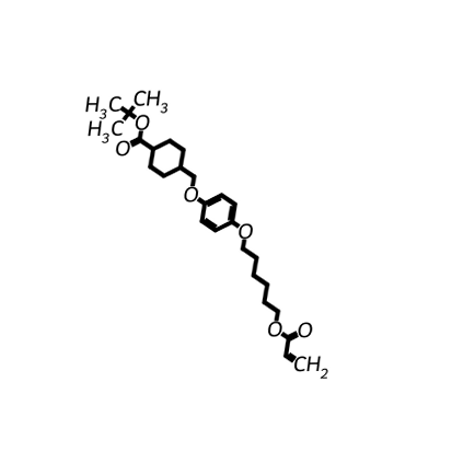 C=CC(=O)OCCCCCCOc1ccc(OCC2CCC(C(=O)OC(C)(C)C)CC2)cc1